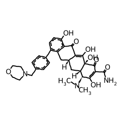 CN(C)[C@@H]1C(O)=C(C(N)=O)C(=O)[C@@]2(O)C(O)=C3C(=O)c4c(O)ccc(-c5ccc(CN6CCOCC6)cc5)c4C[C@H]3C[C@@H]12